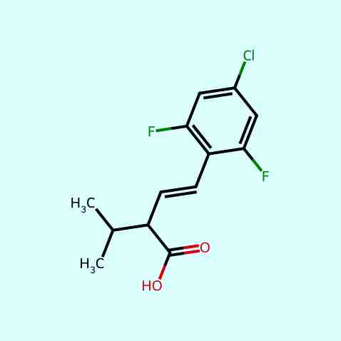 CC(C)C(C=Cc1c(F)cc(Cl)cc1F)C(=O)O